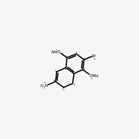 COc1cc(Br)c(OC)c2c1C=C([N+](=O)[O-])CC2